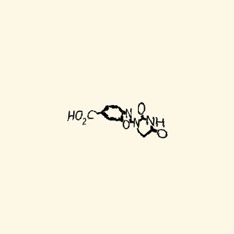 O=C1CCN(c2nc3ccc(C(=O)O)cc3o2)C(=O)N1